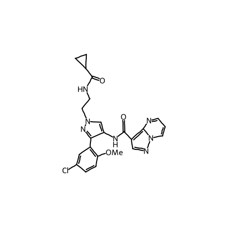 COc1ccc(Cl)cc1-c1nn(CCNC(=O)C2CC2)cc1NC(=O)c1cnn2cccnc12